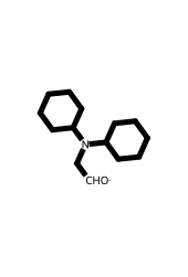 O=[C]CN(C1CCCCC1)C1CCCCC1